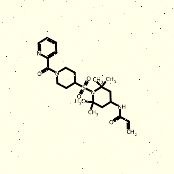 C=CC(=O)NC1CC(C)(C)N(S(=O)(=O)C2CCN(C(=O)c3ccccn3)CC2)C(C)(C)C1